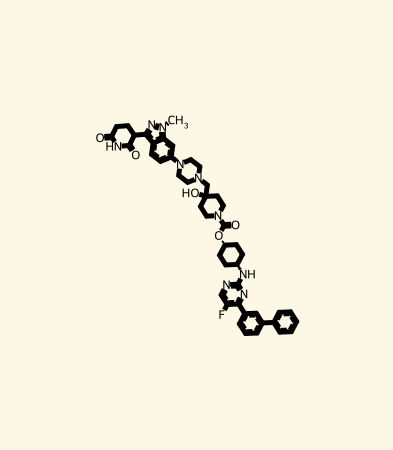 Cn1nc(C2CCC(=O)NC2=O)c2ccc(N3CCN(CC4(O)CCN(C(=O)O[C@H]5CC[C@H](Nc6ncc(F)c(-c7cccc(-c8ccccc8)c7)n6)CC5)CC4)CC3)cc21